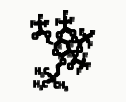 C[Si](C)(C)CCO[C@@H]1O[C@H](COC(=O)C(F)(F)F)[C@@H](OC(=O)C(F)(F)F)[C@H](OC(=O)C(F)(F)F)[C@H]1OC(=O)C(F)(F)F